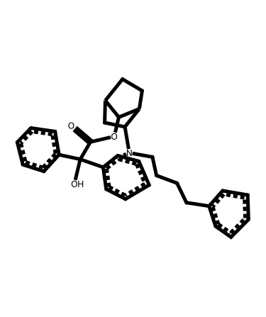 CN(CCCCc1ccccc1)C1CC2CCC1C2OC(=O)C(O)(c1ccccc1)c1ccccc1